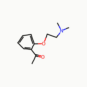 CC(=O)c1ccccc1OCCN(C)C